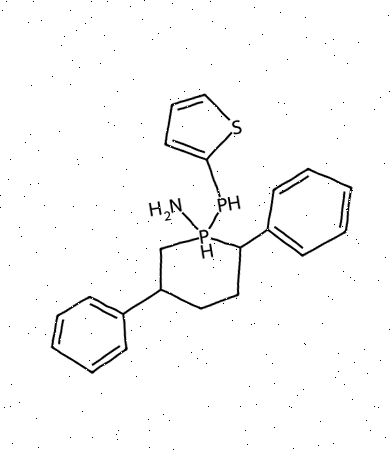 N[PH]1(Pc2cccs2)CC(c2ccccc2)CCC1c1ccccc1